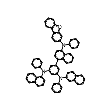 c1ccc(N(c2cc(-c3ccc(N(c4ccccc4)c4ccc5c(c4)oc4ccccc45)c4ccccc34)cc(N(c3ccccc3)c3cccc4ccccc34)c2)c2ccc3ccccc3c2)cc1